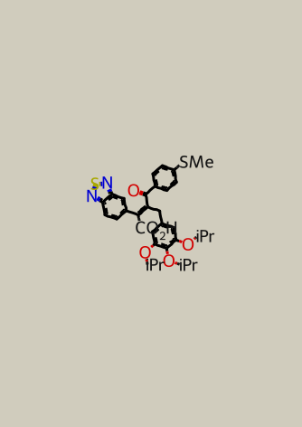 CSc1ccc(C(=O)C(Cc2cc(OC(C)C)c(OC(C)C)c(OC(C)C)c2)=C(C(=O)O)c2ccc3nsnc3c2)cc1